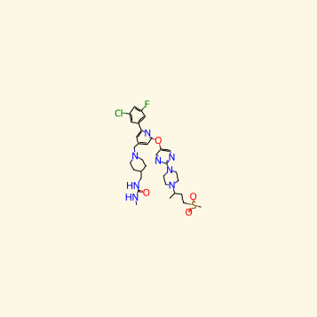 CNC(=O)NCC1CCN(Cc2cc(Oc3cnc(N4CCN(C(C)CCS(C)(=O)=O)CC4)nc3)nc(-c3cc(F)cc(Cl)c3)c2)CC1